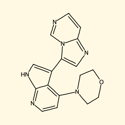 c1cc2ncc(-c3c[nH]c4nccc(N5CCOCC5)c34)n2cn1